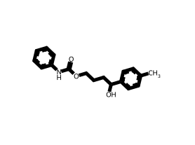 Cc1ccc(C(O)CCCOC(=O)Nc2ccccc2)cc1